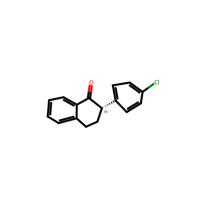 O=C1c2ccccc2CC[C@H]1c1ccc(Cl)cc1